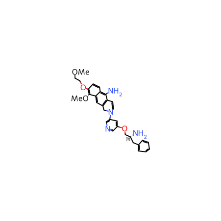 COCCOc1ccc2c(N)c3c(cc2c1OC)CN(c1cncc(OC[C@H](N)Cc2ccccc2)c1)C=C3